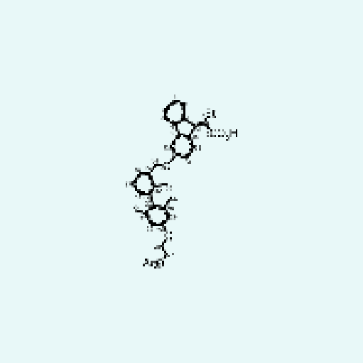 CC/C(C(=O)O)=C1\c2ccccc2-c2cc(OCc3cccc(-c4c(C)cc(OCCOC(C)=O)cc4C)c3C)ccc21